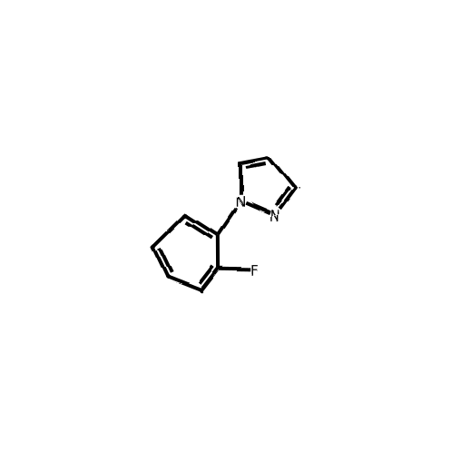 Fc1ccccc1-n1cc[c]n1